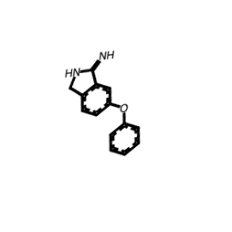 N=C1NCc2ccc(Oc3ccccc3)cc21